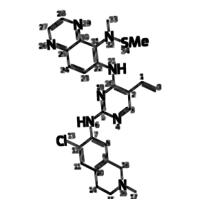 C=Cc1cnc(Nc2cc3c(cc2Cl)CCN(C)C3)nc1Nc1ccc2nccnc2c1N(C)SC